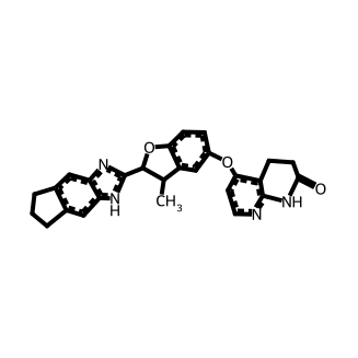 CC1c2cc(Oc3ccnc4c3CCC(=O)N4)ccc2OC1c1nc2cc3c(cc2[nH]1)CCC3